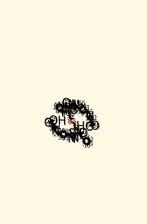 CCCCN(C(=O)Cc1ccccc1)c1nnc(-c2ccc(CN3CC(C(=O)O)C3)cc2)s1.CCCCN(C(=O)c1ccccc1F)c1nnc(-c2ccc(CN3CC(C(=O)O)C3)cc2C)s1